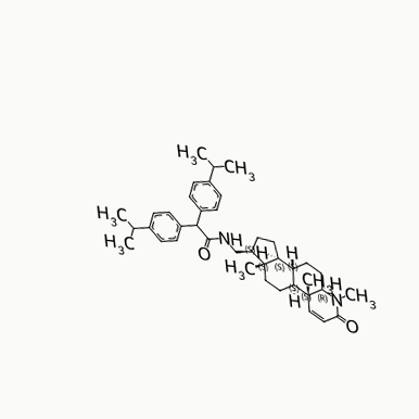 CC(C)c1ccc(C(C(=O)NC[C@H]2CC[C@H]3[C@@H]4CC[C@H]5N(C)C(=O)C=C[C@]5(C)[C@H]4CC[C@]23C)c2ccc(C(C)C)cc2)cc1